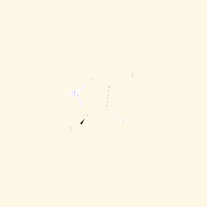 C[C@H]1CN[C@H](C)[C@H]1I